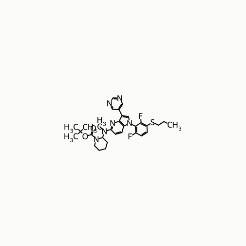 CCCSc1ccc(F)c(-n2cc(-c3cncnc3)c3nc(N(C)C4CCCCN4C(=O)OC(C)(C)C)ccc32)c1F